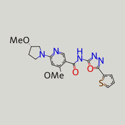 COc1cc(N2CC[C@H](OC)C2)ncc1C(=O)Nc1nnc(-c2cccs2)o1